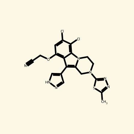 Cc1nnc(N2CCn3c(c(-c4cn[nH]c4)c4c(OCC#N)cc(Cl)c(Cl)c43)C2)s1